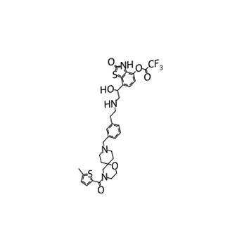 Cc1ccc(C(=O)N2CCOC3(CCN(Cc4cccc(CCNCC(O)c5ccc(OC(=O)C(F)(F)F)c6[nH]c(=O)sc56)c4)CC3)C2)s1